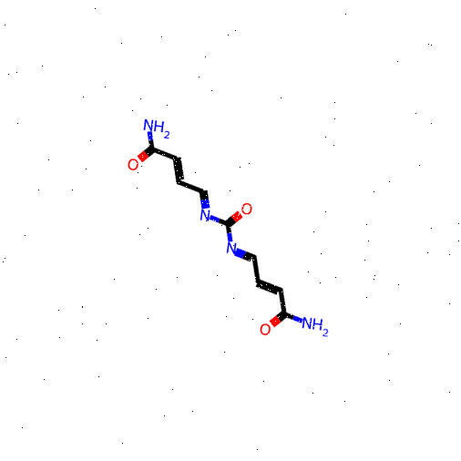 NC(=O)C=CC=NC(=O)N=CC=CC(N)=O